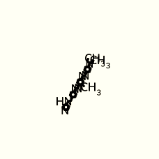 CCN(CC)c1ccc(N=Nc2ccc(N=Nc3ccc(CNc4ccncc4)cc3)c(C)c2)cc1